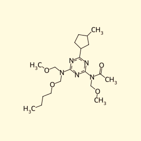 CCCCOCN(COC)c1nc(C2CCC(C)C2)nc(N(COC)C(C)=O)n1